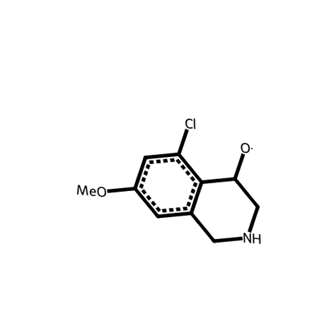 COc1cc(Cl)c2c(c1)CNCC2[O]